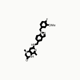 COc1cc(Cn2ncc3cc(CNc4cc5c(c(C)n4)NC(=O)CN5C)ccc32)ccc1F